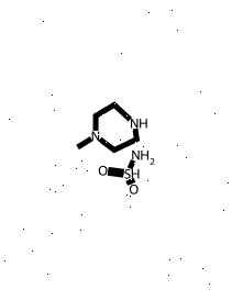 CN1CCNCC1.N[SH](=O)=O